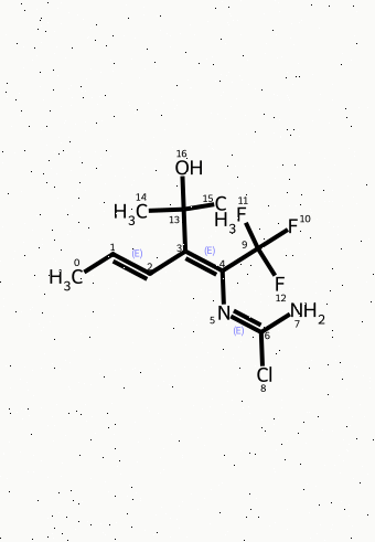 C/C=C/C(=C(\N=C(/N)Cl)C(F)(F)F)C(C)(C)O